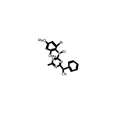 CCN(c1nc(C)nc(C(C#N)c2ccccc2)n1)c1c(Br)cc(OC)cc1OC